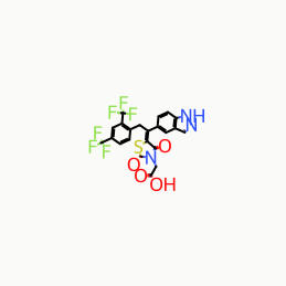 O=C(O)CN1C(=O)SC(=C(Cc2ccc(C(F)(F)F)cc2C(F)(F)F)c2ccc3[nH]ncc3c2)C1=O